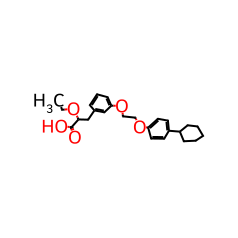 CCOC(Cc1cccc(OCCOc2ccc(C3CCCCC3)cc2)c1)C(=O)O